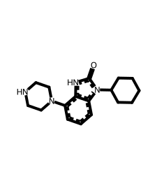 O=c1[nH]c2c(N3CCNCC3)cccc2n1C1CCCCC1